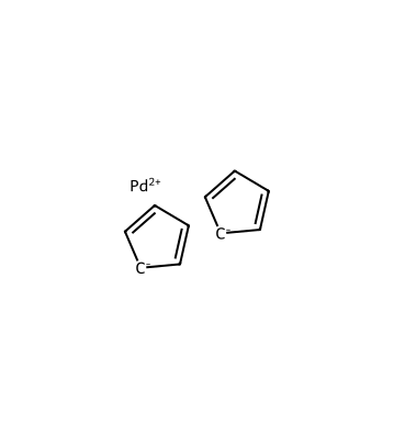 [Pd+2].c1cc[cH-]c1.c1cc[cH-]c1